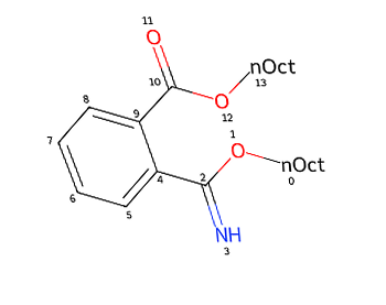 CCCCCCCCOC(=N)c1ccccc1C(=O)OCCCCCCCC